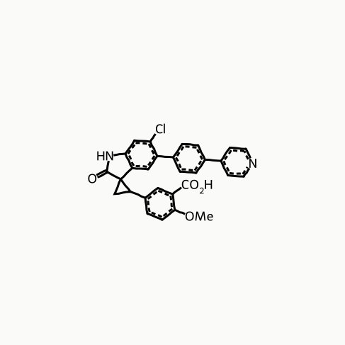 COc1ccc(C2CC23C(=O)Nc2cc(Cl)c(-c4ccc(-c5ccncc5)cc4)cc23)cc1C(=O)O